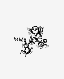 CNc1nc2c(F)cccc2n1-c1nc2c(c(C(C)(C)S(C)(=O)=O)n1)OC[C@@H]1COC[C@@H](C)N21